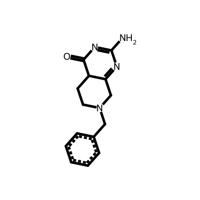 NC1=NC(=O)C2CCN(Cc3ccccc3)CC2=N1